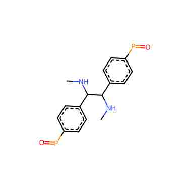 CNC(c1ccc(P=O)cc1)C(NC)c1ccc(P=O)cc1